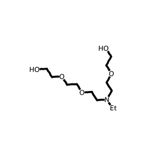 CCN(CCOCCO)CCOCCOCCO